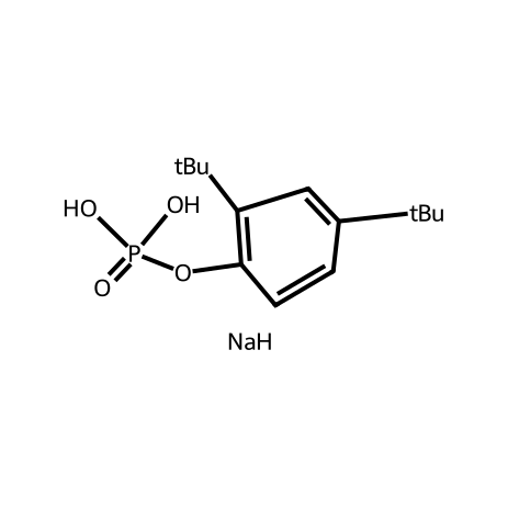 CC(C)(C)c1ccc(OP(=O)(O)O)c(C(C)(C)C)c1.[NaH]